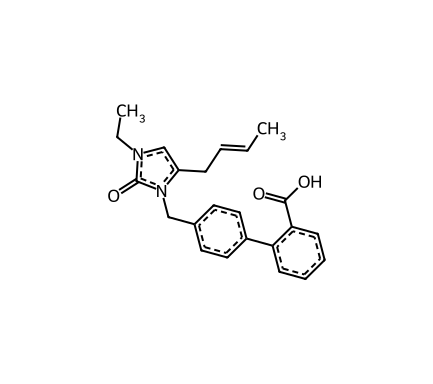 CC=CCc1cn(CC)c(=O)n1Cc1ccc(-c2ccccc2C(=O)O)cc1